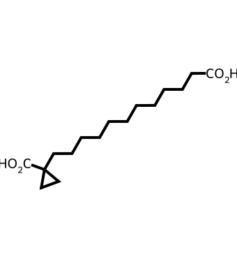 O=C(O)CCCCCCCCCCCC1(C(=O)O)CC1